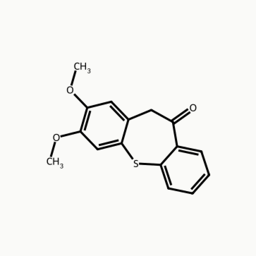 COc1cc2c(cc1OC)Sc1ccccc1C(=O)C2